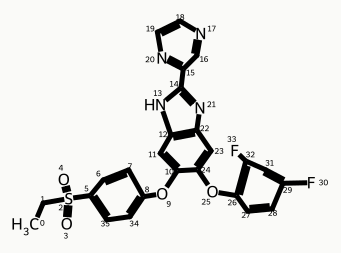 CCS(=O)(=O)c1ccc(Oc2cc3[nH]c(-c4cnccn4)nc3cc2Oc2ccc(F)cc2F)cc1